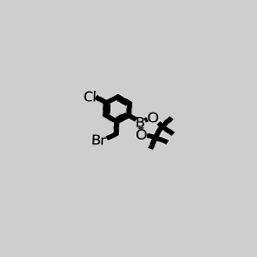 CC1(C)OB(c2ccc(Cl)cc2CBr)OC1(C)C